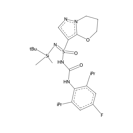 CC(C)c1cc(F)cc(C(C)C)c1NC(=O)NS(=O)(=N[Si](C)(C)C(C)(C)C)c1cnn2c1OCCC2